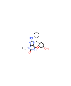 Cn1c(=O)[nH]c(=O)c2c1nc(NC1CCCCC1)n2Cc1ccc(O)cc1